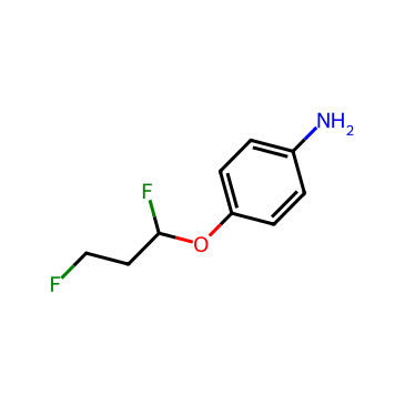 Nc1ccc(OC(F)CCF)cc1